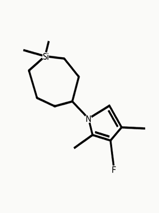 Cc1cn(C2CCC[Si](C)(C)CC2)c(C)c1F